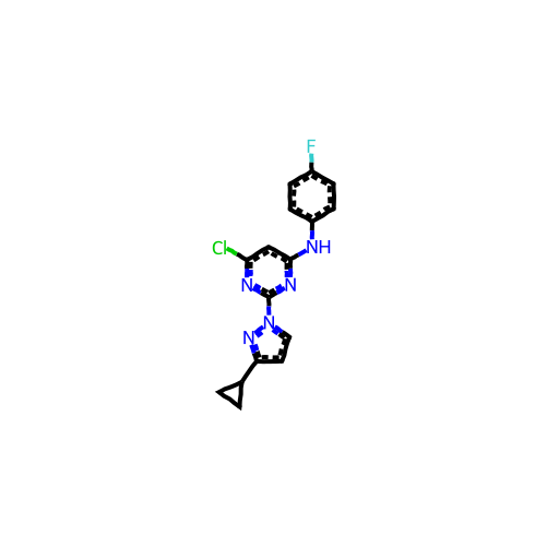 Fc1ccc(Nc2cc(Cl)nc(-n3ccc(C4CC4)n3)n2)cc1